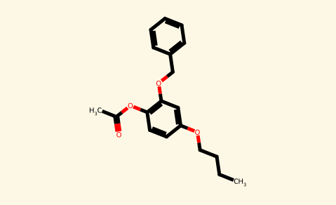 CCCCOc1ccc(OC(C)=O)c(OCc2ccccc2)c1